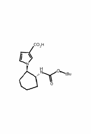 CC(C)(C)OC(=O)N[C@@H]1CCCC[C@H]1n1ccc(C(=O)O)c1